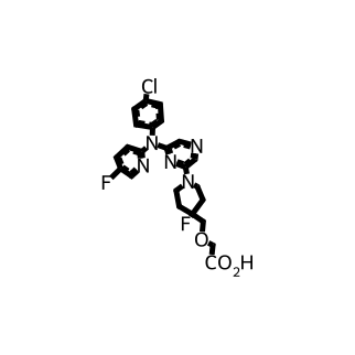 O=C(O)COCC1(F)CCN(c2cncc(N(c3ccc(Cl)cc3)c3ccc(F)cn3)n2)CC1